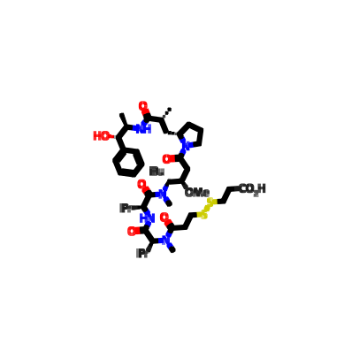 CC[C@H](C)[C@@H]([C@@H](CC(=O)N1CCC[C@H]1C[C@@H](C)C(=O)N[C@H](C)[C@@H](O)c1ccccc1)OC)N(C)C(=O)[C@@H](NC(=O)[C@H](C(C)C)N(C)C(=O)CCSSCCC(=O)O)C(C)C